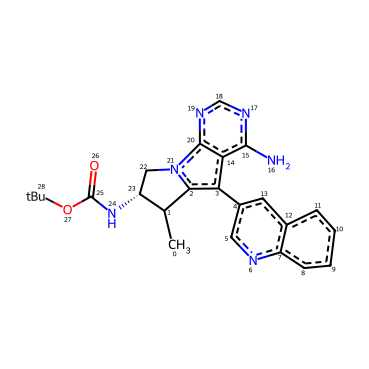 CC1c2c(-c3cnc4ccccc4c3)c3c(N)ncnc3n2C[C@H]1NC(=O)OC(C)(C)C